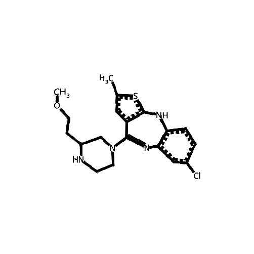 COCCC1CN(C2=Nc3cc(Cl)ccc3Nc3sc(C)cc32)CCN1